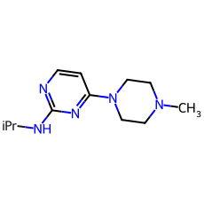 CC(C)Nc1nccc(N2CCN(C)CC2)n1